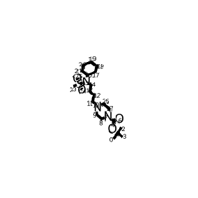 CC(C)(C)OC(=O)N1CCN(CCCCN(C2CCCCC2)S(C)(=O)=O)CC1